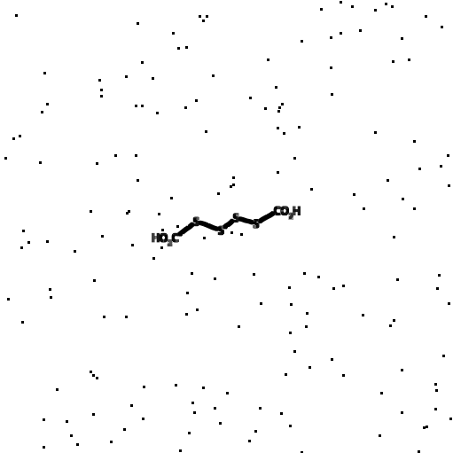 O=C(O)SSSSC(=O)O